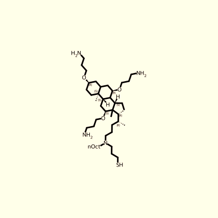 CCCCCCCCN(CCCS)CCC[C@@H](C)[C@H]1CC[C@H]2C3[C@H](OCCCN)CC4C[C@H](OCCCN)CC[C@]4(C)[C@H]3C[C@H](OCCCN)C12C